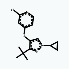 CC(C)(C)c1nn(C2CC2)cc1Oc1ccnc(Cl)c1